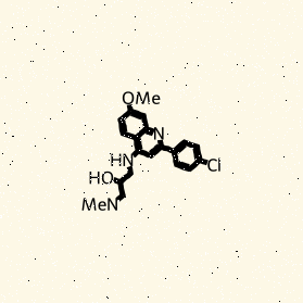 CNCC(O)CNc1cc(-c2ccc(Cl)cc2)nc2cc(OC)ccc12